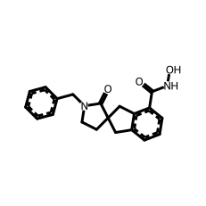 O=C(NO)c1cccc2c1CC1(CCN(Cc3ccccc3)C1=O)C2